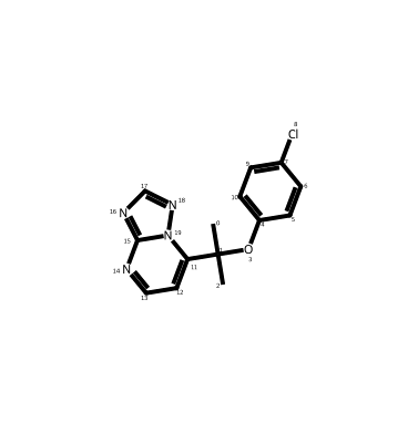 CC(C)(Oc1ccc(Cl)cc1)c1ccnc2ncnn12